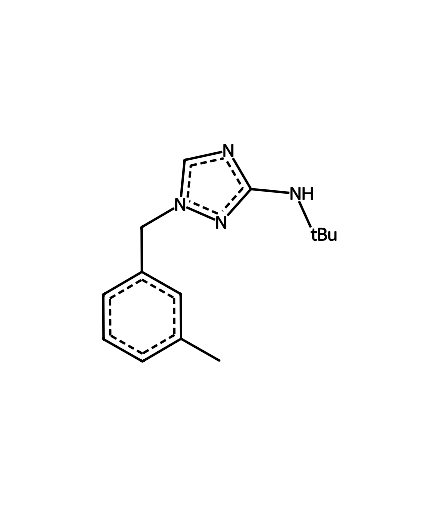 Cc1cccc(Cn2cnc(NC(C)(C)C)n2)c1